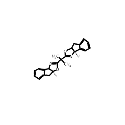 CC(C)(C1=N[C@@H]2c3ccccc3CC2O1)C1=NC2c3ccccc3C[C@@H]2O1